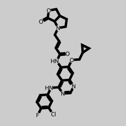 O=C(C=CCN1CCC2COC(=O)C21)Nc1cc2c(Nc3ccc(F)c(Cl)c3)ncnc2cc1OCC1CC1